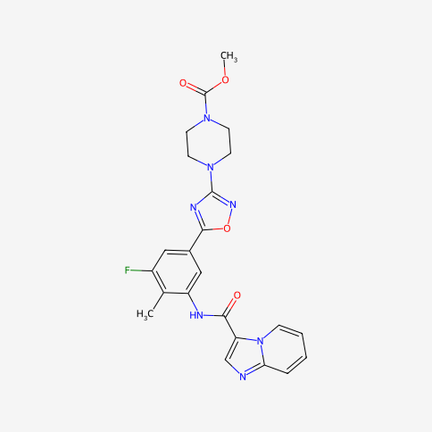 COC(=O)N1CCN(c2noc(-c3cc(F)c(C)c(NC(=O)c4cnc5ccccn45)c3)n2)CC1